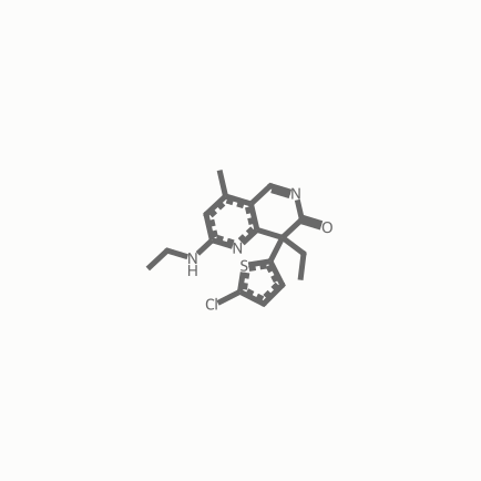 CCNc1cc(C)c2c(n1)C(CC)(c1ccc(Cl)s1)C(=O)N=C2